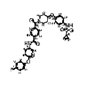 O=C(Nc1ccc(Oc2ccc(F)cc2)nc1)c1ccc(C(=O)N2CCC(Oc3ccc(NS(=O)(=O)C4CC4)cc3)CC2)nc1